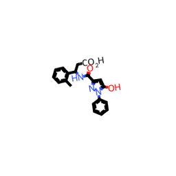 Cc1ccccc1C(CC(=O)O)NC(=O)c1cc(O)n(-c2ccccc2)n1